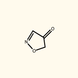 O=C1C=NOC1